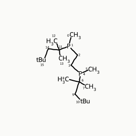 CP(CCP(C)C(C)(C)CC(C)(C)C)C(C)(C)CC(C)(C)C